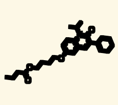 CCCC(=O)OCCCCOc1ccc2c(c1)cc(C1=CCCC=C1)c(=O)n2C(C)C